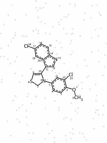 COc1ccc(N2CSC=C2c2cnc3ccc(Cl)cn23)cc1Cl